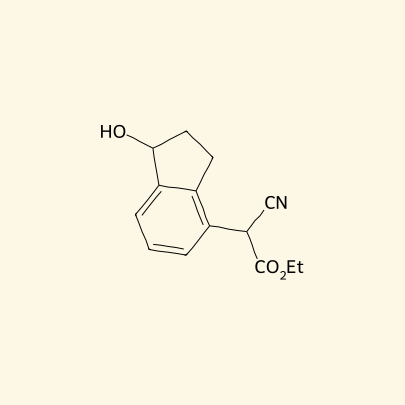 CCOC(=O)C(C#N)c1cccc2c1CCC2O